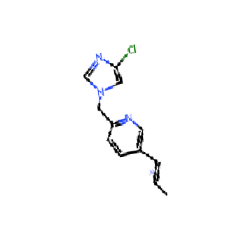 C/C=C/c1ccc(Cn2cnc(Cl)c2)nc1